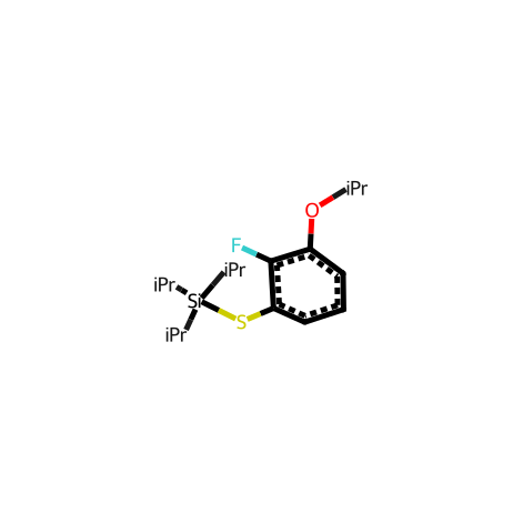 CC(C)Oc1cccc(S[Si](C(C)C)(C(C)C)C(C)C)c1F